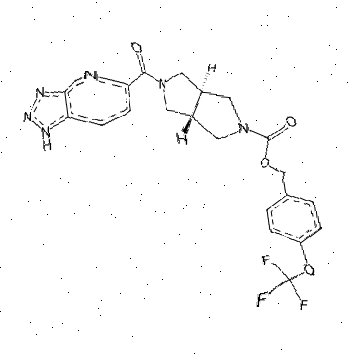 O=C(OCc1ccc(OC(F)(F)F)cc1)N1C[C@@H]2CN(C(=O)c3ccc4[nH]nnc4n3)C[C@H]2C1